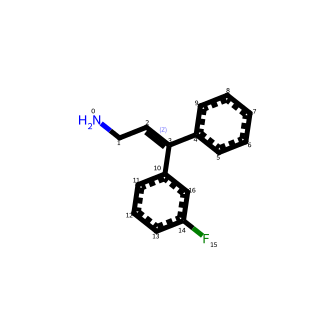 NC/C=C(/c1ccccc1)c1cccc(F)c1